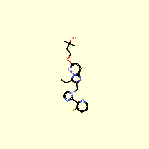 CCc1c(Cn2ccnc2-c2ncccc2F)nc2ccc(OCCC(C)(C)O)nn12